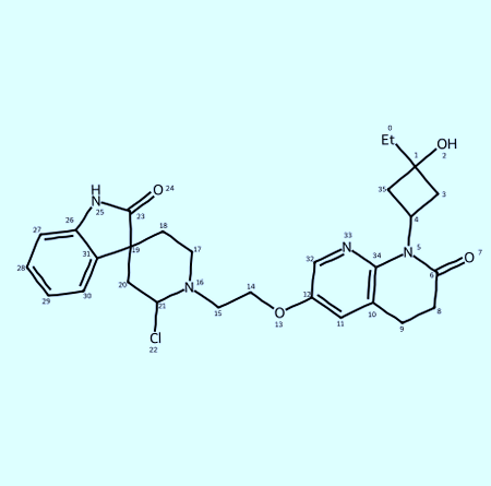 CCC1(O)CC(N2C(=O)CCc3cc(OCCN4CCC5(CC4Cl)C(=O)Nc4ccccc45)cnc32)C1